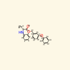 CC(C)C(Nc1ccccc1)C(=O)OCc1cccc(Oc2ccccc2)c1